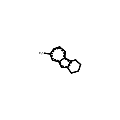 Cc1cccc2c3c(cc-2c1)CCCC3